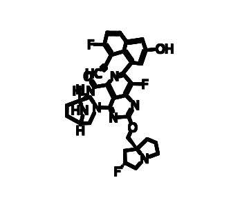 C#Cc1c(F)ccc2cc(O)cc(-c3nc(C(N)=O)c4c(N5C[C@H]6CC[C@@H](C5)N6)nc(OC[C@@]56CCCN5C[C@H](F)C6)nc4c3F)c12